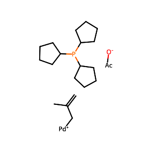 C1CCC(P(C2CCCC2)C2CCCC2)C1.C=C(C)[CH2][Pd+].CC(=O)[O-]